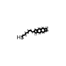 SCCCC/C=C\CC1CC2=C(C1)CC1CC3CCC3CC1C2